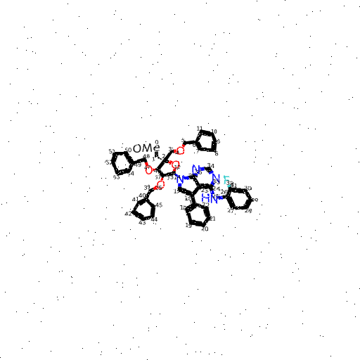 COC[C@]1(COCc2ccccc2)O[C@@H](n2cc(-c3ccccc3)c3c(Nc4ccccc4F)ncnc32)[C@@H](OCc2ccccc2)[C@H]1OCc1ccccc1